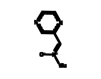 CC(C)(C)[N+]([O-])=Cc1cnccn1